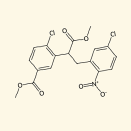 COC(=O)c1ccc(Cl)c(C(Cc2cc(Cl)ccc2[N+](=O)[O-])C(=O)OC)c1